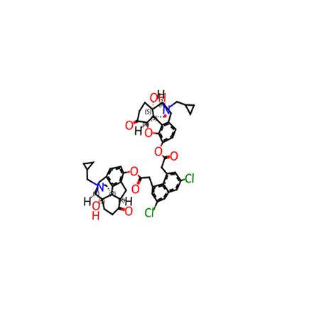 O=C(Cc1cc(Cl)cc2cc(Cl)cc(CC(=O)Oc3ccc4c5c3O[C@H]3C(=O)CC[C@@]6(O)[C@@H](C4)N(CC4CC4)CC[C@]536)c12)Oc1ccc2c3c1C[C@H]1C(=O)CC[C@@]4(O)[C@@H](C2)N(CC2CC2)CC[C@]314